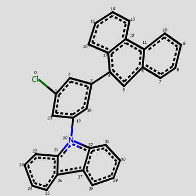 Clc1cc(-c2cc3ccccc3c3ccccc23)cc(-n2c3ccccc3c3ccccc32)c1